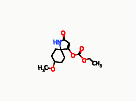 CCOC(=O)OC1=CC(=O)NC12CCC(OC)CC2